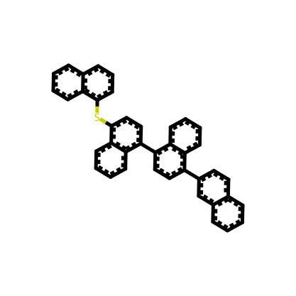 c1ccc2cc(-c3ccc(-c4ccc(Sc5cccc6ccccc56)c5ccccc45)c4ccccc34)ccc2c1